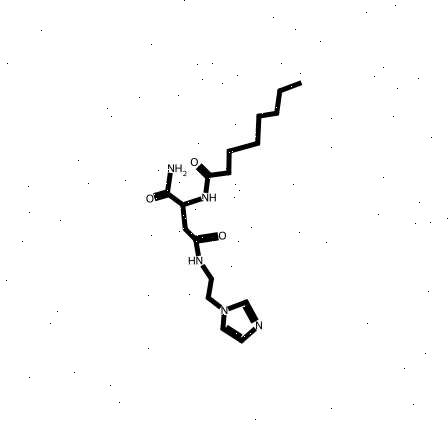 CCCCCCCC(=O)NC(CC(=O)NCCn1ccnc1)C(N)=O